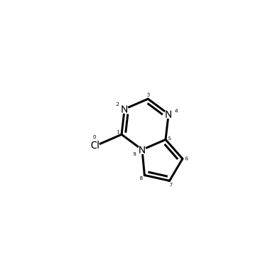 Clc1ncnc2cccn12